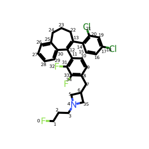 FCCCN1CC(Cc2ccc(C3=C(c4ccc(Cl)cc4Cl)CCCc4ccccc43)c(F)c2F)C1